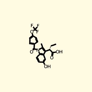 CC[C@H](C(=O)O)c1c(C)n(C(=O)c2ccc(OC(F)(F)F)cc2)c2ccc(O)cc12